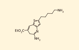 CCOC(=O)C1=Cc2sc(CCCCCN)cc2N=C(N)C1